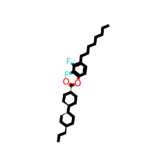 CCCCCCCCc1ccc(OC(=O)[C@H]2CC[C@H]([C@H]3CC[C@H](CCC)CC3)CC2)c(F)c1F